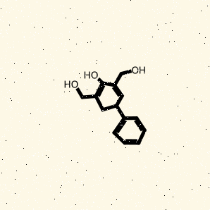 OCC1=CC(c2ccccc2)CC(CO)=C1O